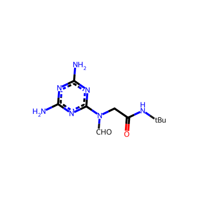 CC(C)(C)NC(=O)CN(C=O)c1nc(N)nc(N)n1